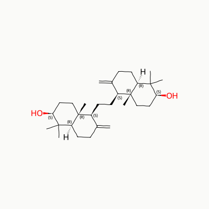 C=C1CC[C@H]2C(C)(C)[C@@H](O)CC[C@]2(C)[C@H]1CC[C@H]1C(=C)CC[C@H]2C(C)(C)[C@@H](O)CC[C@]12C